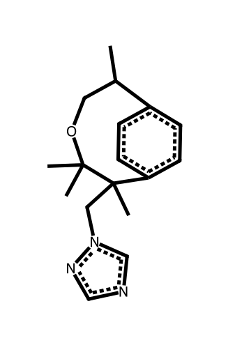 CC1COC(C)(C)C(C)(Cn2cncn2)c2ccc1cc2